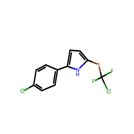 FC(F)(Cl)Sc1ccc(-c2ccc(Cl)cc2)[nH]1